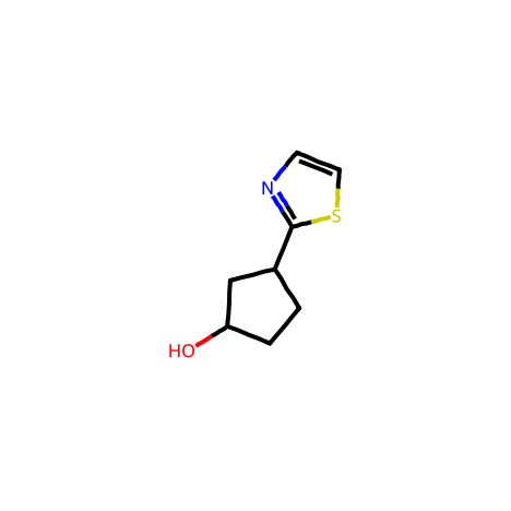 OC1CCC(c2nccs2)C1